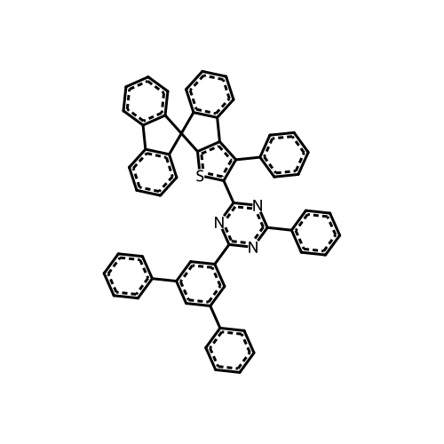 c1ccc(-c2cc(-c3ccccc3)cc(-c3nc(-c4ccccc4)nc(-c4sc5c(c4-c4ccccc4)-c4ccccc4C54c5ccccc5-c5ccccc54)n3)c2)cc1